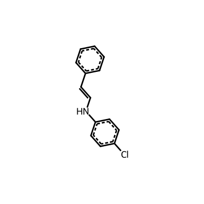 Clc1ccc(NC=Cc2ccccc2)cc1